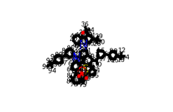 CC(c1cccc(-c2ccc(C(C)(C)C)cc2)c1)C1Cc2cc(N3c4cc(C(C)(C)C)cc(C(C)(C)C)c4C4(C)CCCCC34C)cc3c2B(C2=C1C1(C)CCCC1(c1ccccc1)S2)c1c(ccc2c4c(oc12)C(C)(C)CCC4(C)C)N3c1cccc(-c2ccc(C(C)(C)C)cc2)c1